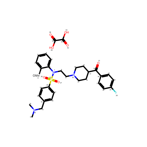 COc1ccccc1N(CCN1CCC(C(=O)c2ccc(F)cc2)CC1)S(=O)(=O)c1ccc(CN(C)C)cc1.O=C(O)C(=O)O